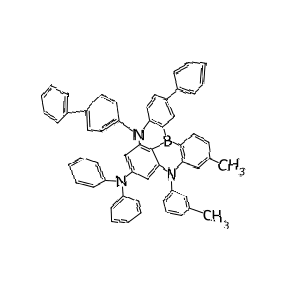 Cc1cccc(N2c3cc(C)ccc3B3c4cc(-c5ccccc5)ccc4N(c4ccc(-c5ccccc5)cc4)c4cc(N(c5ccccc5)c5ccccc5)cc2c43)c1